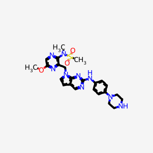 COc1cnc(N(C)S(C)(=O)=O)c(Cn2ccc3cnc(Nc4ccc(N5CCNCC5)cc4)nc32)n1